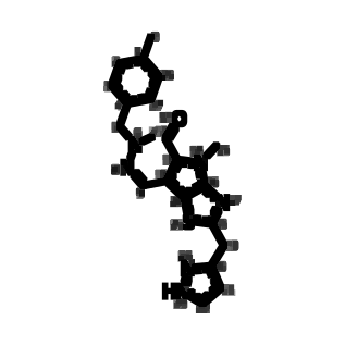 Cc1ccc(CN(C)/N=C\c2c(C=O)n(C)c3nc(Cc4cc[nH]n4)sc23)cc1